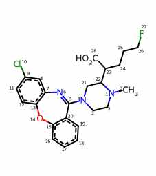 CN1CCN(C2=Nc3cc(Cl)ccc3Oc3ccccc32)CC1C(CCCF)C(=O)O